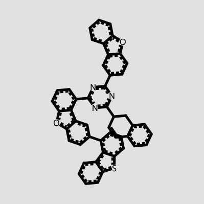 C1=CC(c2nc(-c3ccc4oc5ccccc5c4c3)nc(-c3cccc4oc5ccc(-c6cccc7sc8ccccc8c67)cc5c34)n2)Cc2ccccc21